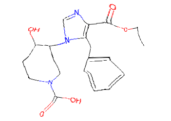 CCOC(=O)c1ncn(C2CN(C(=O)O)CCC2O)c1-c1ccccc1